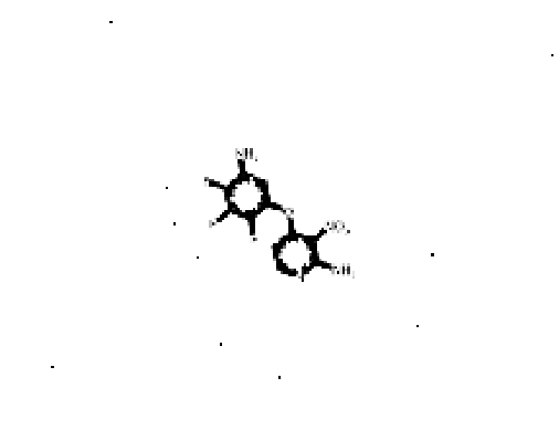 Nc1cc(Oc2ccnc(N)c2[N+](=O)[O-])c(F)c(F)c1F